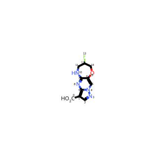 O=C(O)c1cnn2cc3c(nc12)NC[C@@H](F)CO3